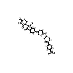 O=C1CCC(N2C(=O)c3ccc(N4CCN(CC5CCN(c6ccc([N+](=O)[O-])cn6)CC5)CC4)cc3C2=O)C(=O)N1